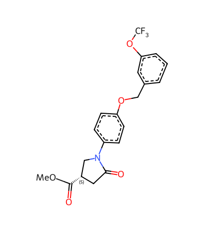 COC(=O)[C@H]1CC(=O)N(c2ccc(OCc3cccc(OC(F)(F)F)c3)cc2)C1